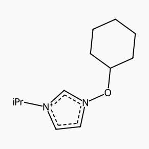 CC(C)[n+]1ccn(OC2CCCCC2)c1